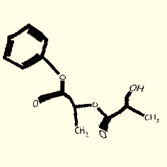 CC(O)C(=O)OC(C)C(=O)Oc1ccccc1